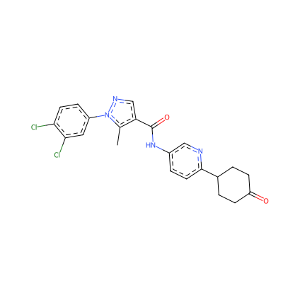 Cc1c(C(=O)Nc2ccc(C3CCC(=O)CC3)nc2)cnn1-c1ccc(Cl)c(Cl)c1